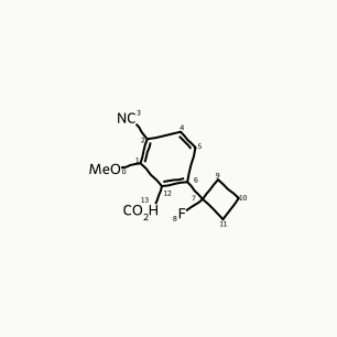 COc1c(C#N)ccc(C2(F)CCC2)c1C(=O)O